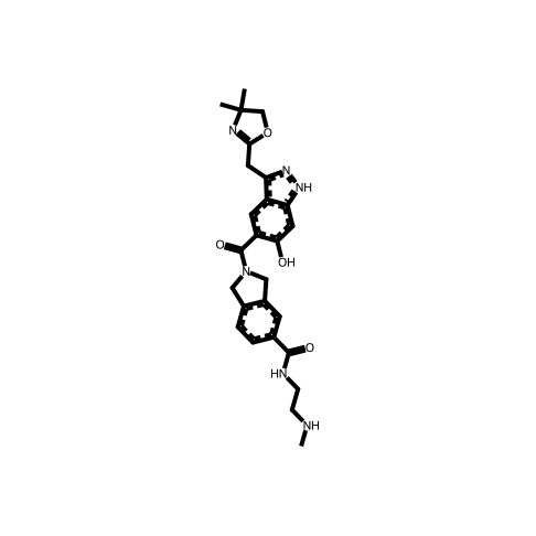 CNCCNC(=O)c1ccc2c(c1)CN(C(=O)c1cc3c(CC4=NC(C)(C)CO4)n[nH]c3cc1O)C2